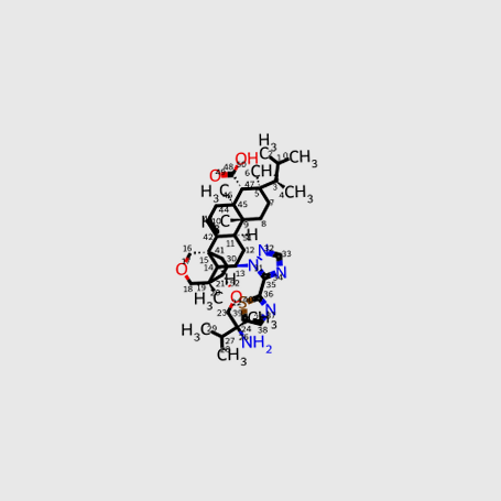 CC(C)[C@@H](C)[C@@]1(C)CC[C@]2(C)[C@H]3CC[C@@H]4[C@@]5(COC[C@@]4(C)[C@@H](OC[C@](C)(N)C(C)C)[C@H](n4ncnc4-c4nccs4)C5)C3=CC[C@@]2(C)[C@@H]1C(=O)O